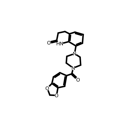 O=C1CCc2cccc(N3CCN(C(=O)c4ccc5c(c4)OCO5)CC3)c2N1